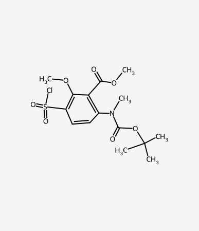 COC(=O)c1c(N(C)C(=O)OC(C)(C)C)ccc(S(=O)(=O)Cl)c1OC